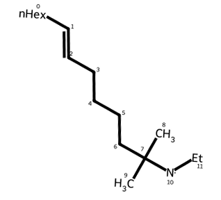 CCCCCCC=CCCCCC(C)(C)[N]CC